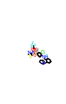 O=C(ON(c1cscn1)S(=O)(=O)c1ccc(NCc2c(F)cccc2CN2C3CCC2CC3)c(Cl)c1F)C(F)(F)F